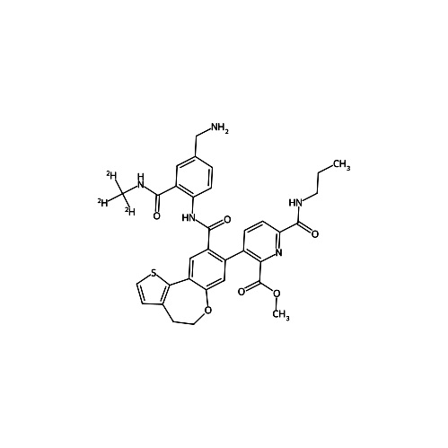 [2H]C([2H])([2H])NC(=O)c1cc(CN)ccc1NC(=O)c1cc2c(cc1-c1ccc(C(=O)NCCC)nc1C(=O)OC)OCCc1ccsc1-2